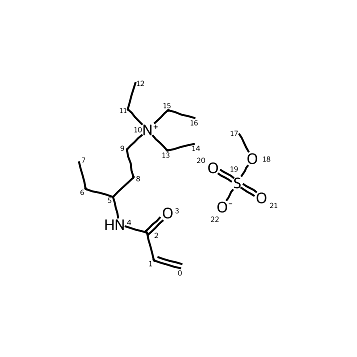 C=CC(=O)NC(CC)CC[N+](CC)(CC)CC.COS(=O)(=O)[O-]